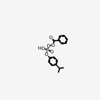 CC(C)c1ccc(OP(=O)(O)OOC(=O)c2ccccc2)cc1